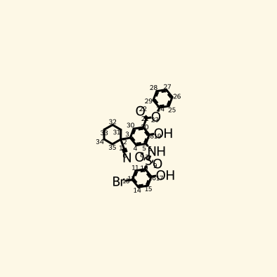 N#CC1(c2cc(NS(=O)(=O)c3cc(Br)ccc3O)c(O)c(C(=O)Oc3ccccc3)c2)CCCCC1